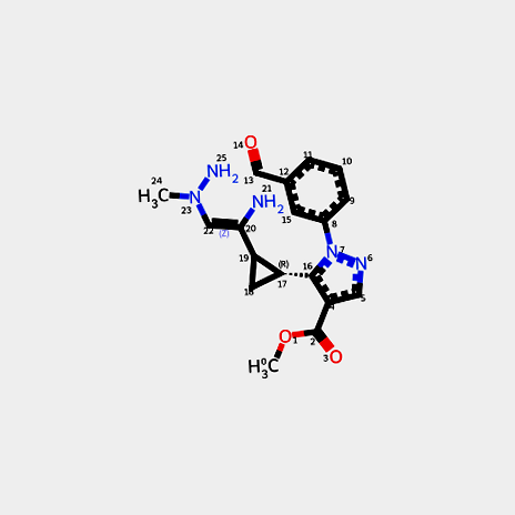 COC(=O)c1cnn(-c2cccc(C=O)c2)c1[C@@H]1CC1/C(N)=C/N(C)N